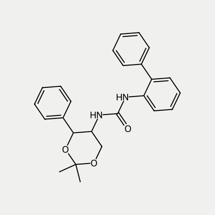 CC1(C)OCC(NC(=O)Nc2ccccc2-c2ccccc2)C(c2ccccc2)O1